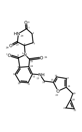 O=C1CCC(N2C(=O)c3cccc(NCc4ccc(CC5=CC5)o4)c3C2=O)C(=O)N1